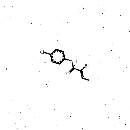 CC=C(Br)C(=O)Nc1ccc(Cl)cc1